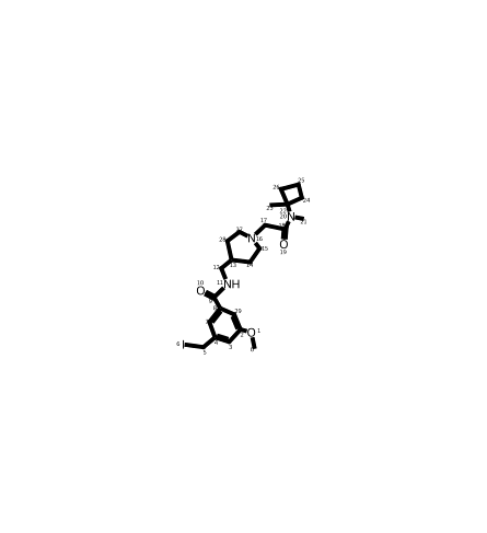 COc1cc(CI)cc(C(=O)NCC2CCN(CC(=O)N(C)C3(C)CCC3)CC2)c1